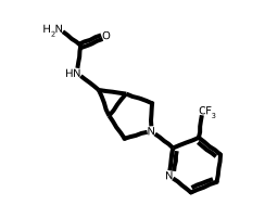 NC(=O)NC1C2CN(c3ncccc3C(F)(F)F)CC21